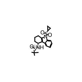 CC(C)(C)[S@@+]([O-])N[C@H]1CCCc2c1c1ccccc1n2S(=O)(=O)C1CC1